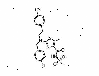 Cc1sc(N(CCc2ccc(C#N)cc2)Cc2ccc(Cl)cc2)nc1C(=O)NS(C)(=O)=O